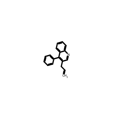 C=CCc1cnc2ccccc2c1-c1ccccc1